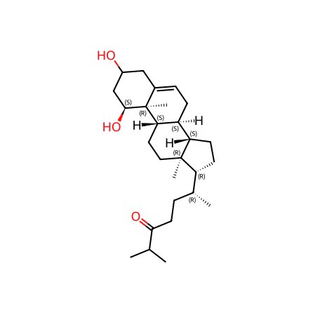 CC(C)C(=O)CC[C@@H](C)[C@H]1CC[C@H]2[C@@H]3CC=C4CC(O)C[C@H](O)[C@]4(C)[C@H]3CC[C@]12C